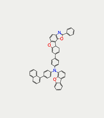 C1=C(c2ccc(N(c3ccc(-c4cccc5ccccc45)cc3)c3cccc4c3oc3ccccc34)cc2)C=C2Oc3ccc4nc(-c5ccccc5)oc4c3C2C1